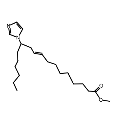 CCCCCCC(CC=CCCCCCCCC(=O)OC)n1ccnc1